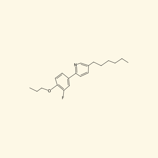 CCCCCCc1ccc(-c2ccc(OCCC)c(F)c2)nc1